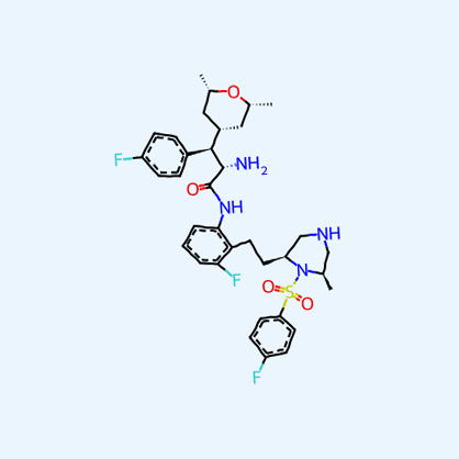 C[C@@H]1C[C@H]([C@H](c2ccc(F)cc2)[C@H](N)C(=O)Nc2cccc(F)c2CC[C@H]2CNC[C@@H](C)N2S(=O)(=O)c2ccc(F)cc2)C[C@H](C)O1